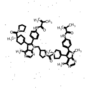 C=C(C)C(=O)Nc1ccc(-c2c(C3=CC[S@@](C)(C(=O)N4CCC(Cn5c(-c6ccc(NC(=O)C(=C)C)cc6)c(C6=CC[C@](C)(C(=O)N7CCCC7)CC6)c6c(N)ncnc65)C4)CC3)c3c(N)ncnc3n2C)cc1